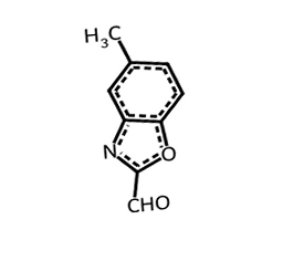 Cc1ccc2oc(C=O)nc2c1